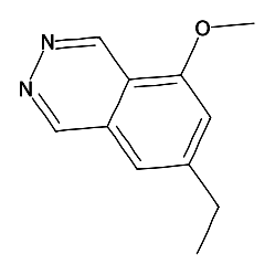 CCc1cc(OC)c2cnncc2c1